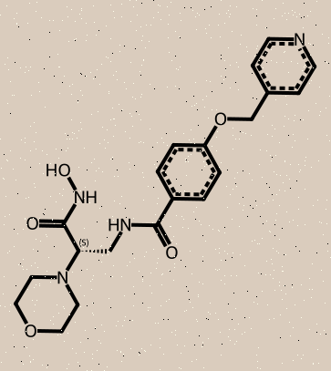 O=C(NC[C@@H](C(=O)NO)N1CCOCC1)c1ccc(OCc2ccncc2)cc1